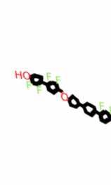 Oc1ccc(-c2ccc(COC3CCC(C4CC=C(c5ccc(C6CO6)c(F)c5F)CC4)CC3)c(F)c2F)c(F)c1F